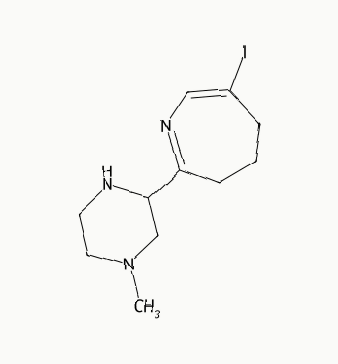 CN1CCNC(C2=NC=C(I)CCC2)C1